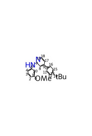 COc1cccc(Nc2cc(-c3ccc(C(C)(C)C)cc3)ccn2)c1